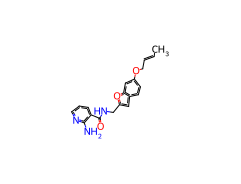 C/C=C/COc1ccc2cc(CNC(=O)c3cccnc3N)oc2c1